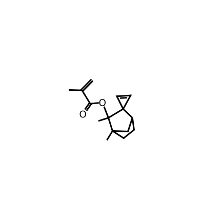 C=C(C)C(=O)OC1(C)C2(C)CCC(C2)C12C=C2